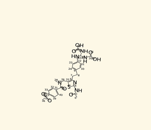 CC(=O)Nc1nc(CCc2ccc(NC(NC(=O)O)NC(=O)O)cc2)c(CN(C)C(=O)c2ccc(S(C)(=O)=O)cc2)s1